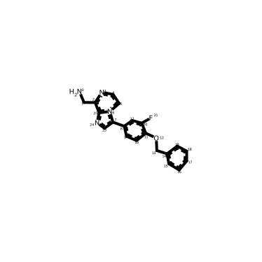 NCc1nccn2c(-c3ccc(OCc4ccccc4)c(F)c3)cnc12